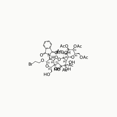 CC(=O)OC[C@H]1O[C@@H]([C@]2(O)[C@@H](C(O)C(C)=O)O[C@@H]([C@]3(O)[C@H](O)[C@H](N4C(=O)c5ccccc5C4=O)[C@@H](OCCBr)O[C@@H]3CO)[C@@](O)(C(C)=O)[C@]2(O)C(C)=O)[C@H](OC(C)=O)[C@@H](OC(C)=O)[C@H]1OC(C)=O